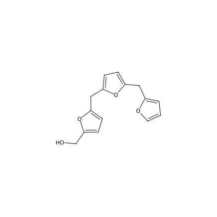 OCc1ccc(Cc2ccc(Cc3ccco3)o2)o1